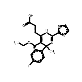 CCOC(=O)C1=C(CCC(=O)O)NC(c2nccs2)=NC1(C)c1ccc(F)cc1